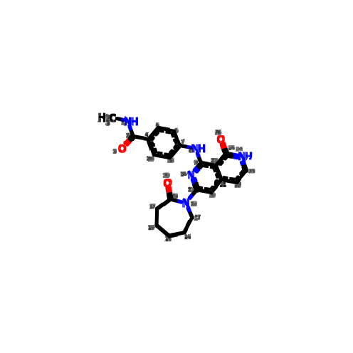 CNC(=O)c1ccc(Nc2nc(N3CCCCCC3=O)cc3cc[nH]c(=O)c23)cc1